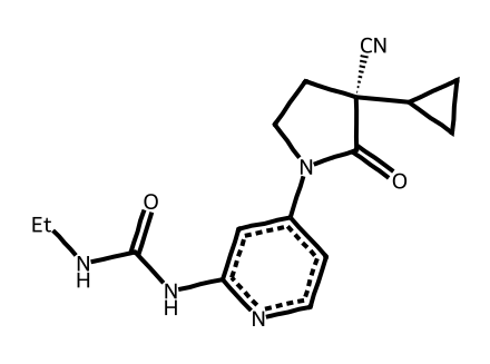 CCNC(=O)Nc1cc(N2CC[C@@](C#N)(C3CC3)C2=O)ccn1